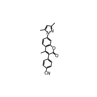 Cc1cc(C)n(-c2ccc3c(C)c(-c4ccc(C#N)cc4)c(=O)oc3c2)n1